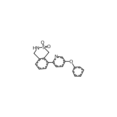 O=S1(=O)Cc2c(cccc2-c2ccc(Oc3ccccc3)cn2)CN1